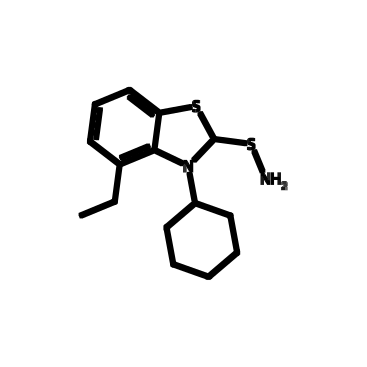 CCc1cccc2c1N(C1CCCCC1)C(SN)S2